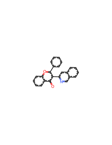 O=c1c(-c2cc3ccccc3cn2)c(-c2ccccc2)oc2ccccc12